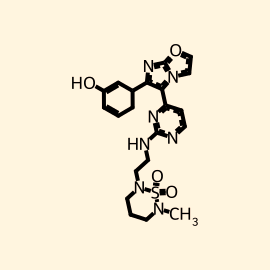 CN1CCCN(CCNc2nccc(-c3c(C4C=C(O)C=CC4)nc4occn34)n2)S1(=O)=O